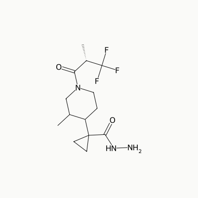 CC1CN(C(=O)[C@H](C)C(F)(F)F)CCC1C1(C(=O)NN)CC1